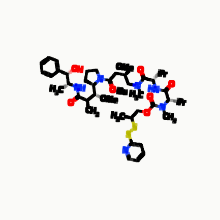 CC[C@H](C)[C@@H]([C@@H](CC(=O)N1CCC[C@@H]1[C@H](OC)[C@@H](C)C(=O)N[C@H](C)[C@@H](O)c1ccccc1)OC)N(C)C(=O)[C@@H](NC(=O)[C@H](C(C)C)N(C)C(=O)OC[C@H](C)SSc1ccccn1)C(C)C